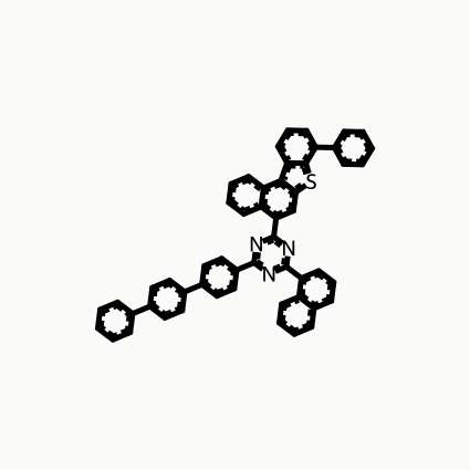 c1ccc(-c2ccc(-c3ccc(-c4nc(-c5cccc6ccccc56)nc(-c5cc6sc7c(-c8ccccc8)cccc7c6c6ccccc56)n4)cc3)cc2)cc1